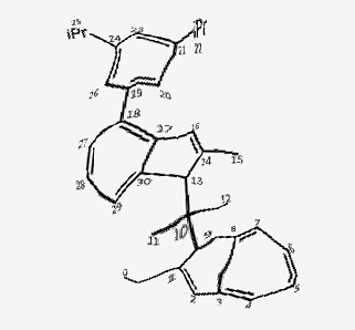 CC1=Cc2ccccc2C1C(C)(C)C1C(C)=Cc2c(-c3cc(C(C)C)cc(C(C)C)c3)cccc21